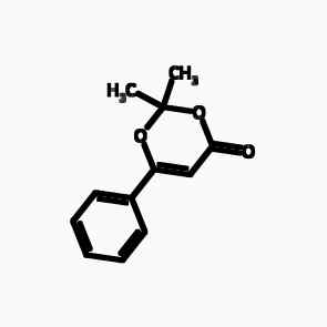 CC1(C)OC(=O)C=C(c2ccccc2)O1